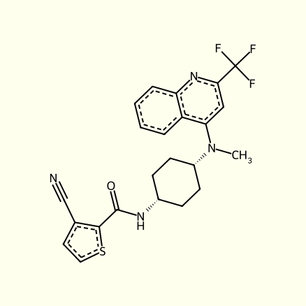 CN(c1cc(C(F)(F)F)nc2ccccc12)[C@H]1CC[C@@H](NC(=O)c2sccc2C#N)CC1